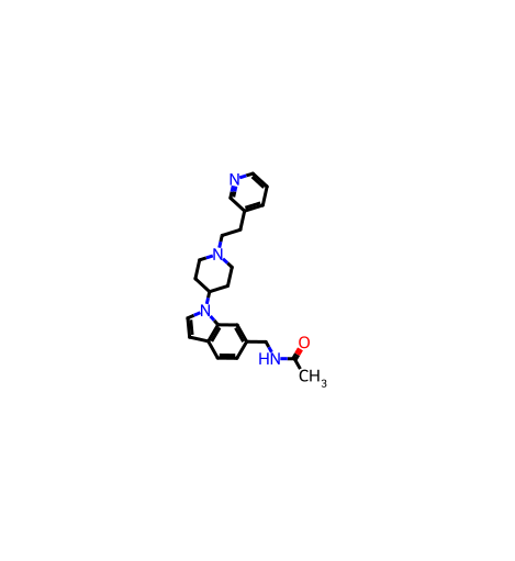 CC(=O)NCc1ccc2ccn(C3CCN(CCc4cccnc4)CC3)c2c1